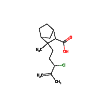 C=C(C)C(Cl)CCC1(C)C2CCC(C2)C1C(=O)O